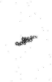 N#CCC(=O)N1CCCC(NC(=O)c2sc3nccc4c3c2NC(=O)N4c2ccc(Oc3ccccc3)cc2)C1